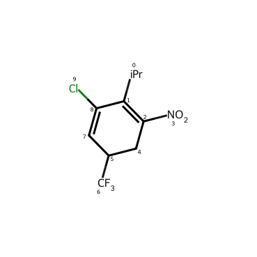 CC(C)C1=C([N+](=O)[O-])CC(C(F)(F)F)C=C1Cl